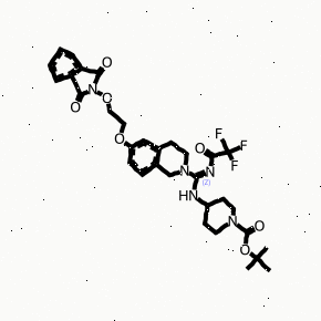 CC(C)(C)OC(=O)N1CCC(N/C(=N/C(=O)C(F)(F)F)N2CCc3cc(OCCON4C(=O)c5ccccc5C4=O)ccc3C2)CC1